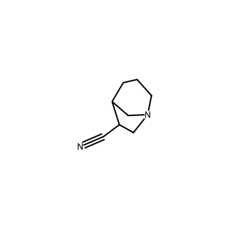 N#CC1CN2CCCC1C2